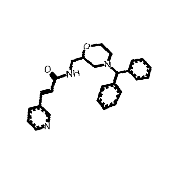 O=C(C=Cc1cccnc1)NCC1CN(C(c2ccccc2)c2ccccc2)CCO1